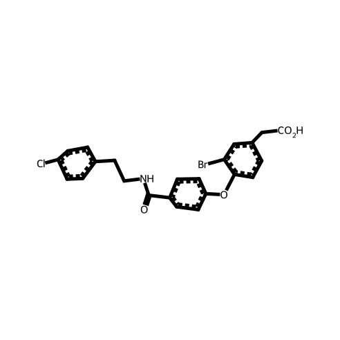 O=C(O)Cc1ccc(Oc2ccc(C(=O)NCCc3ccc(Cl)cc3)cc2)c(Br)c1